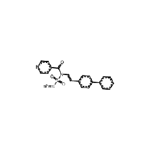 CCCCCS(=O)(=O)N(/C=C/c1ccc(-c2ccccc2)cc1)C(=O)c1ccncc1